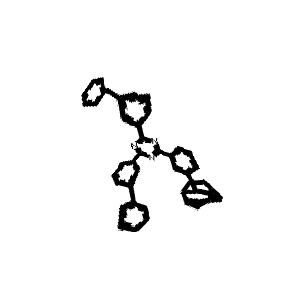 C1=CC2C3C=CC1C(c1cccc(-c4nc(-c5cccc(-c6ccccc6)c5)nc(-c5cccc(-c6ccccc6)c5)n4)c1)=CC23